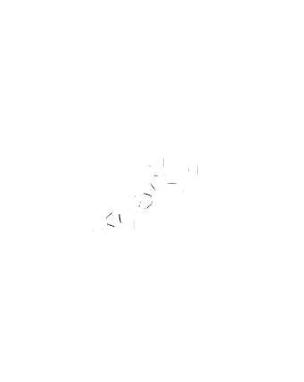 CCOC(=O)COc1c(C(=O)OC)sc2nc(OCc3ccc(Cl)cc3Cl)ccc12